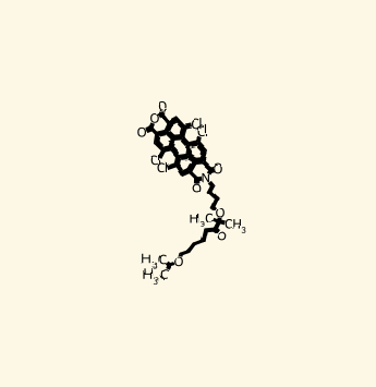 CC(C)OCCCCCC(=O)C(C)(C)OCCCCN1C(=O)c2cc(Cl)c3c4c(Cl)cc5c6c(cc(Cl)c(c7c(Cl)cc(c2c37)C1=O)c64)C(=O)OC5=O